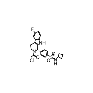 O=C(CCl)N1CCc2c([nH]c3ccc(F)cc23)[C@@H]1c1ccc(S(=O)(=O)NC2CCC2)cc1